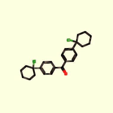 O=C(c1ccc(C2(Cl)CCCCC2)cc1)c1ccc(C2(Cl)CCCCC2)cc1